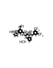 CCOc1cc(C(=O)N[C@@H](Cc2ccccc2)[C@@H](O)CNCc2cc(C(F)(F)F)cc(C(F)(F)F)c2)cc(N2CCCS2(O)O)c1.Cl